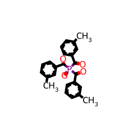 Cc1cccc(C(=O)P(=O)(C(=O)c2cccc(C)c2)C(=O)c2cccc(C)c2)c1